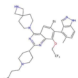 CCc1cc2c(N3CCC4(CC3)CNC4)nc(C3CCN(CCOC)CC3)nc2c(OCC(F)(F)F)c1-c1c(C)ccc2[nH]ncc12